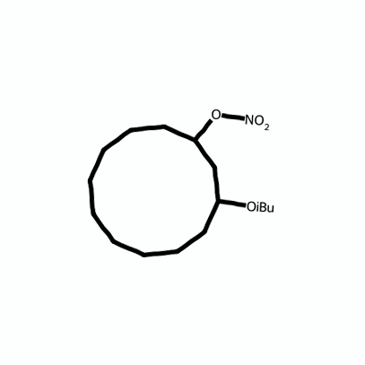 CC(C)COC1CCCCCCCCCC(O[N+](=O)[O-])C1